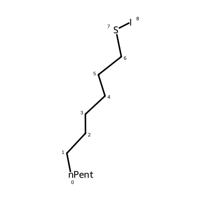 CCCCCCCCCCCSI